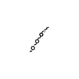 C=C[C@H]1CC[C@H](CCC2CCC(CCc3ccc(COCC=CC)cc3)CC2)CC1